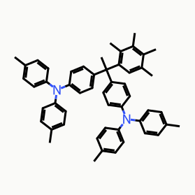 Cc1ccc(N(c2ccc(C)cc2)c2ccc(C(C)(c3ccc(N(c4ccc(C)cc4)c4ccc(C)cc4)cc3)c3cc(C)c(C)c(C)c3C)cc2)cc1